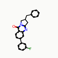 O=c1c2ccc(-c3cccc(F)c3)cc2nc2n1CC(Cc1ccccc1)C2